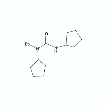 [CH2]CN(C(=O)NC1CCCC1)C1CCCC1